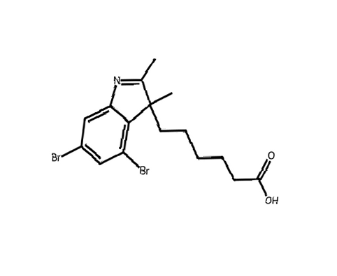 CC1=Nc2cc(Br)cc(Br)c2C1(C)CCCCCC(=O)O